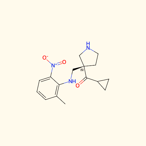 Cc1cccc([N+](=O)[O-])c1NC[C@]1(C(=O)C2CC2)CCNC1